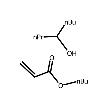 C=CC(=O)OCCCC.CCCCC(O)CCC